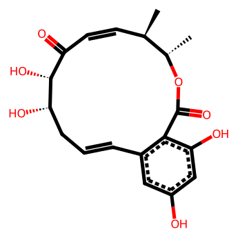 C[C@@H]1/C=C\C(=O)[C@@H](O)[C@@H](O)C/C=C/c2cc(O)cc(O)c2C(=O)O[C@H]1C